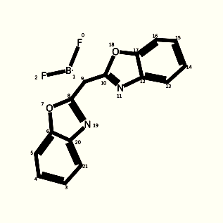 F[B]F.c1ccc2oc(Cc3nc4ccccc4o3)nc2c1